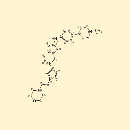 CN1CCN(c2ccc(Nc3nc4n(n3)C=CN(c3cnn(CCN5CCOCC5)c3)C4)cc2)CC1